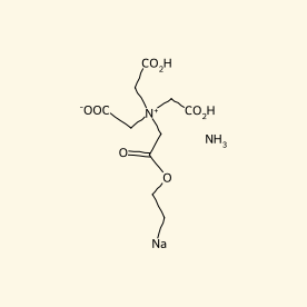 N.O=C([O-])C[N+](CC(=O)O)(CC(=O)O)CC(=O)OC[CH2][Na]